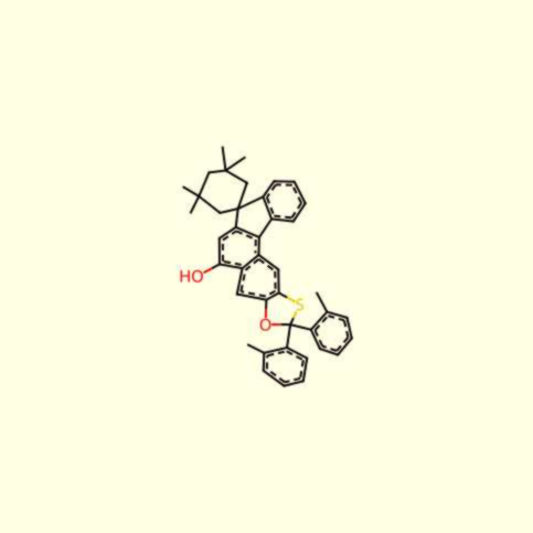 Cc1ccccc1C1(c2ccccc2C)Oc2cc3c(O)cc4c(c3cc2S1)-c1ccccc1C41CC(C)(C)CC(C)(C)C1